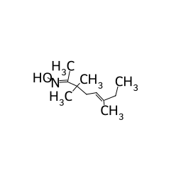 CCC(C)=CCC(C)(C)C(C)=NO